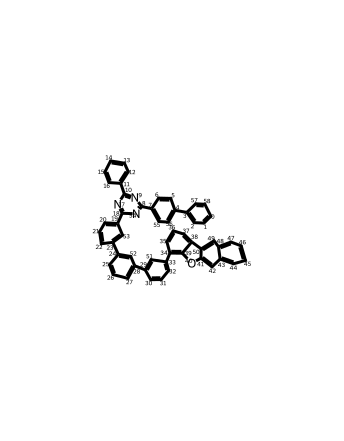 c1ccc(-c2ccc(-c3nc(-c4ccccc4)nc(-c4cccc(-c5cccc(-c6cccc(-c7cccc8c7oc7cc9ccccc9cc78)c6)c5)c4)n3)cc2)cc1